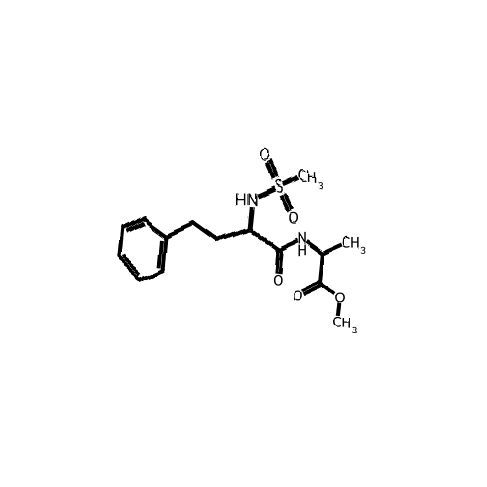 COC(=O)C(C)NC(=O)C(CCc1ccccc1)NS(C)(=O)=O